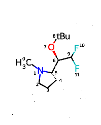 CN1CCC[C@H]1[C@@H](OC(C)(C)C)C(F)F